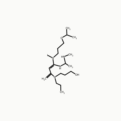 C=C(/C=C(\NC(C)NC)N(I)CCCOC(C)C)N(CCC)CCCO